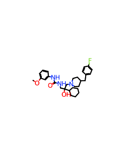 COc1cccc(NC(=O)NCC(O)(CN2CCC(Cc3ccc(F)cc3)CC2)C2CCCCC2)c1